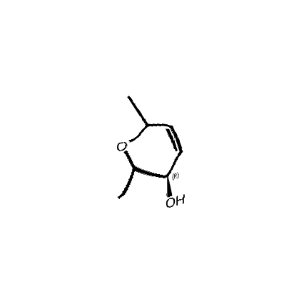 CC1C=C[C@@H](O)C(C)O1